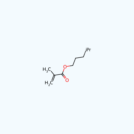 [CH2]C(C)CCCOC(=O)C(=C)C